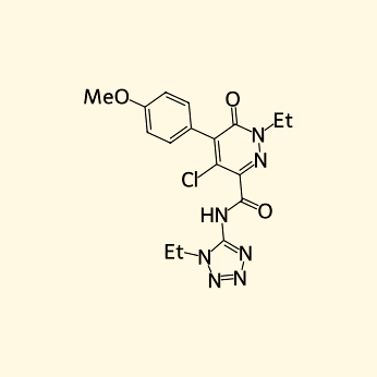 CCn1nnnc1NC(=O)c1nn(CC)c(=O)c(-c2ccc(OC)cc2)c1Cl